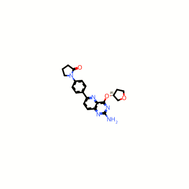 Nc1nc(O[C@@H]2CCOC2)c2nc(-c3ccc(N4CCCC4=O)cc3)ccc2n1